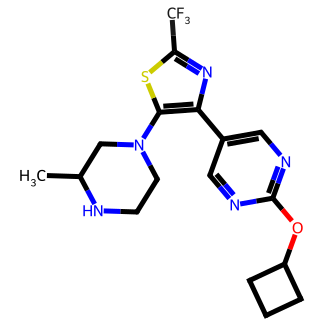 CC1CN(c2sc(C(F)(F)F)nc2-c2cnc(OC3CCC3)nc2)CCN1